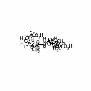 CC(CNC(C)C(=O)O)NC(=O)C(C)(C)CCOC(C)(C)CCNC(=O)C#CC(=O)NCCC(C)(C)OCC(C)(C)C(=O)NC(C)C(=O)NC(C)C(=O)O